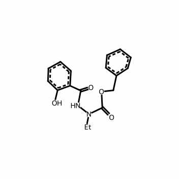 CCN(NC(=O)c1ccccc1O)C(=O)OCc1ccccc1